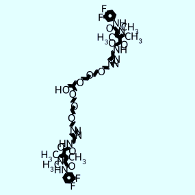 Cc1c(C(=O)C(=O)NCc2cn(CCOCCOCCOCC(CO)COCCOCCOCCn3cc(CNC(=O)C(=O)c4c(C)c(C(=O)Nc5ccc(F)c(F)c5)n(C)c4C)nn3)nn2)c(C)n(C)c1C(=O)Nc1ccc(F)c(F)c1